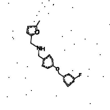 Cc1ccc(CNCc2ccc(OCc3cccc(F)c3)cc2)o1